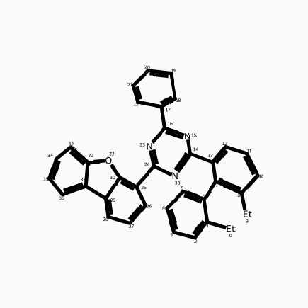 CCc1ccccc1-c1c(CC)cccc1-c1nc(-c2ccccc2)nc(-c2cccc3c2oc2ccccc23)n1